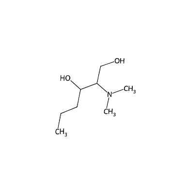 CCCC(O)C(CO)N(C)C